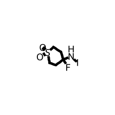 O=S1(=O)CCC(F)(NI)CC1